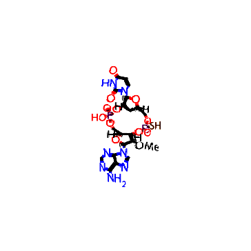 CO[C@@H]1[C@@H]2OP(=O)(S)OC[C@@H]3C[C@@H](OP(=O)(O)OC[C@H]2O[C@H]1n1cnc2c(N)ncnc21)[C@H](n1ccc(=O)[nH]c1=O)O3